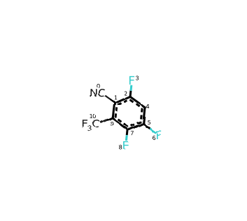 N#Cc1c(F)cc(F)c(F)c1C(F)(F)F